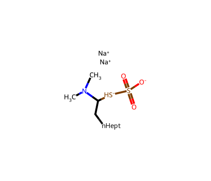 CCCCCCCCC([SH-]S(=O)(=O)[O-])N(C)C.[Na+].[Na+]